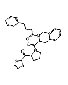 O=C(c1nccs1)[C@@H]1CCCN1C(=O)C1Cc2ccccc2CN1C(=O)CCCc1ccccc1